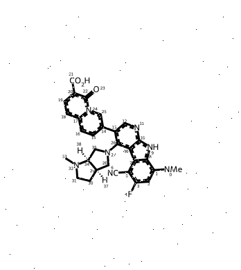 CNc1cc(F)c(C#N)c2c1[nH]c1ncc(-c3ccc4ccc(C(=O)O)c(=O)n4c3)c(N3C[C@H]4CCN(C)[C@H]4C3)c12